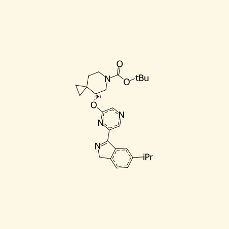 CC(C)c1ccc2c(c1)C(c1cncc(O[C@H]3CN(C(=O)OC(C)(C)C)CCC34CC4)n1)=NC2